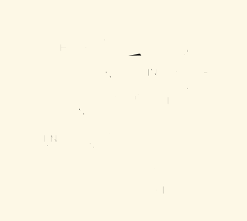 Nc1nc(C(=O)N2C[C@H]3CC3[C@H]2CNC(=O)C(F)(F)F)c(-c2cccc(Cl)c2)s1